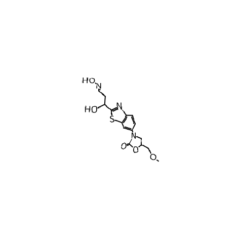 COCC1CN(c2ccc3nc(C(O)CC=NO)sc3c2)C(=O)O1